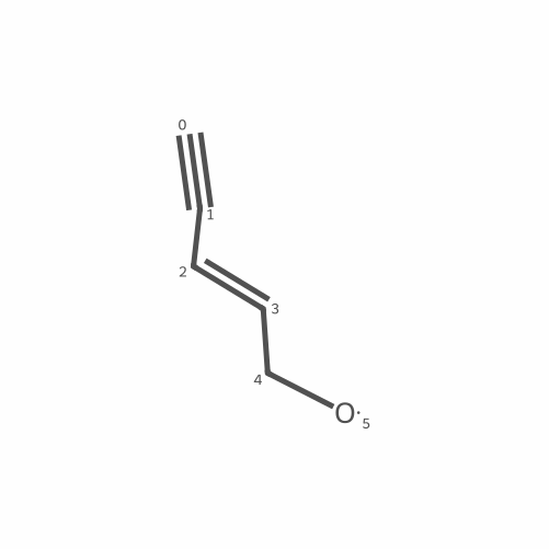 C#CC=CC[O]